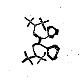 C[Si](C)(C)N(N=C(C(=NN([Si](C)(C)C)[Si](C)(C)C)c1ccccc1)c1ccccc1)[Si](C)(C)C